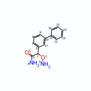 NOC(C(N)=O)c1cccc(-c2ccccc2)c1